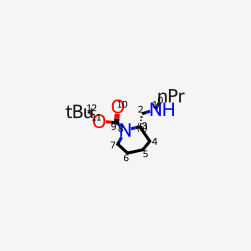 CCCNC[C@@H]1CCCCN1C(=O)OC(C)(C)C